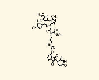 CNC(O)N(CCCCNC(=O)COc1cccc2c1C(=O)N(C1CCC(=O)NC1=O)C2=O)C(=O)C[C@@H]1N=C(c2ccc(Cl)cc2)c2c(sc(C)c2C)-n2c(C)nnc21